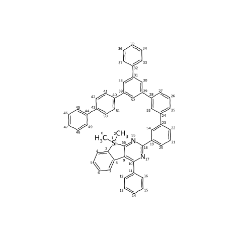 C[Si]1(C)c2ccccc2-c2c(-c3ccccc3)nc(-c3cccc(-c4cccc(-c5cc(-c6ccccc6)cc(-c6ccc(-c7ccccc7)cc6)c5)c4)c3)nc21